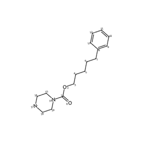 O=C(OCCCCCc1ccccc1)N1CC[N]CC1